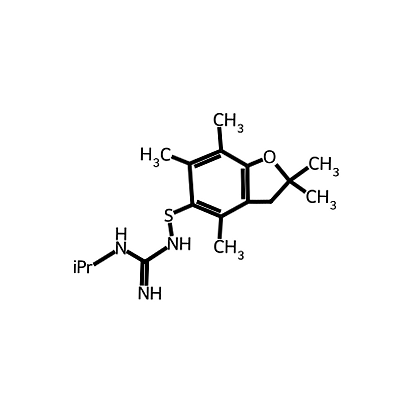 Cc1c(C)c(SNC(=N)NC(C)C)c(C)c2c1OC(C)(C)C2